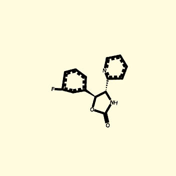 O=C1N[C@@H](c2ccccn2)[C@H](c2cccc(F)c2)O1